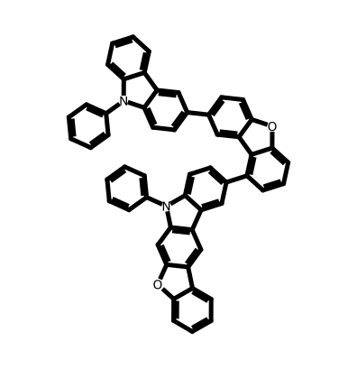 c1ccc(-n2c3ccccc3c3cc(-c4ccc5oc6cccc(-c7ccc8c(c7)c7cc9c(cc7n8-c7ccccc7)oc7ccccc79)c6c5c4)ccc32)cc1